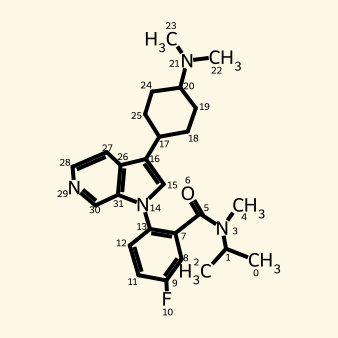 CC(C)N(C)C(=O)c1cc(F)ccc1-n1cc(C2CCC(N(C)C)CC2)c2ccncc21